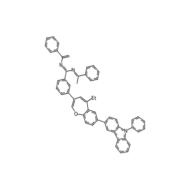 C=C(/N=C(\N=C(/C)c1ccccc1)c1cccc(C2=COc3ccc(-c4ccc5c(c4)c4ccccc4n5-c4ccccc4)cc3C(CC)=C2)c1)c1ccccc1